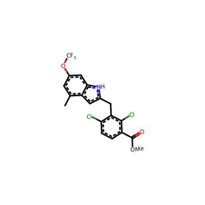 COC(=O)c1ccc(Cl)c(Cc2cc3c(C)cc(OC(F)(F)F)cc3[nH]2)c1Cl